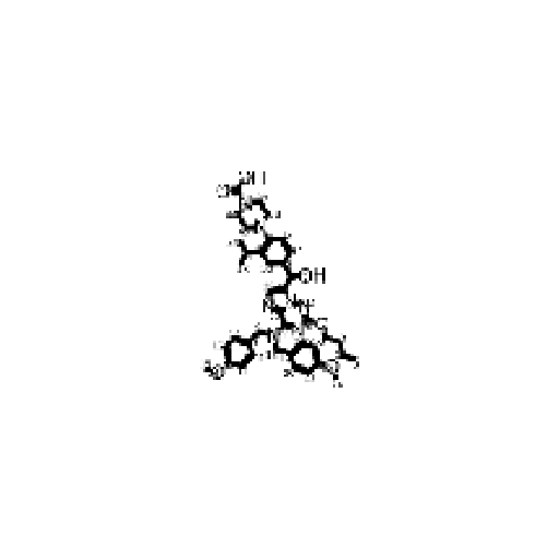 CCCCOc1nc(N(Cc2ccc(OC)cc2)Cc2ccc(OC)cc2)c2ncc(C(O)c3ccc(N4CCN(C(=O)O)CC4)c(C(C)C)c3)n2n1